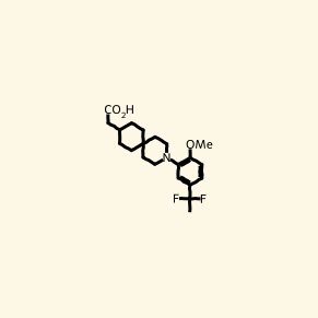 COc1ccc(C(C)(F)F)cc1N1CCC2(CCC(CC(=O)O)CC2)CC1